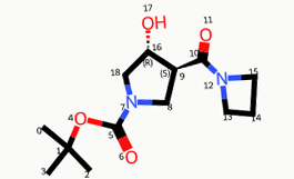 CC(C)(C)OC(=O)N1C[C@H](C(=O)N2CCC2)[C@@H](O)C1